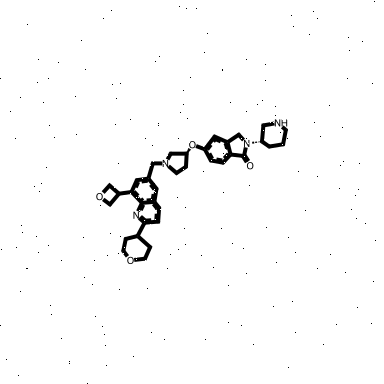 O=C1c2ccc(O[C@H]3CCN(Cc4cc(C5COC5)c5nc(C6CCOCC6)ccc5c4)C3)cc2CN1[C@H]1CCCNC1